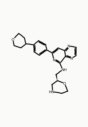 c1cnc2c(NC[C@@H]3CNCCO3)nc(-c3ccc(C4CCOCC4)cc3)cc2n1